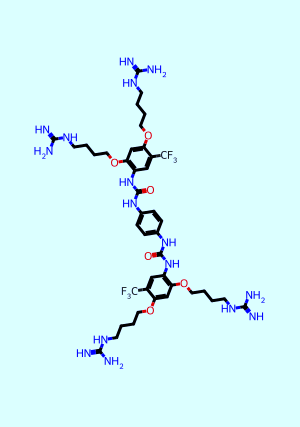 N=C(N)NCCCCOc1cc(OCCCCNC(=N)N)c(C(F)(F)F)cc1NC(=O)Nc1ccc(NC(=O)Nc2cc(C(F)(F)F)c(OCCCCNC(=N)N)cc2OCCCCNC(=N)N)cc1